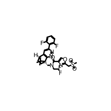 CC1(C)[C@H]2CC[C@]1(CN(CC(F)F)C(=O)c1coc(CS(C)(=O)=O)n1)c1nnc(-c3c(F)cccc3F)cc12